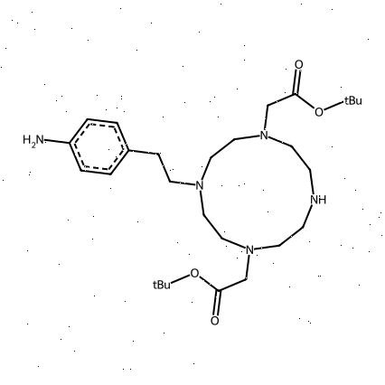 CC(C)(C)OC(=O)CN1CCNCCN(CC(=O)OC(C)(C)C)CCN(CCc2ccc(N)cc2)CC1